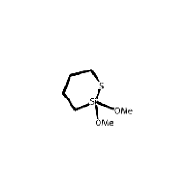 CO[Si]1(OC)CCCCS1